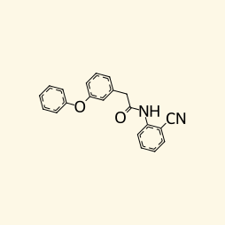 N#Cc1ccccc1NC(=O)Cc1cccc(Oc2ccccc2)c1